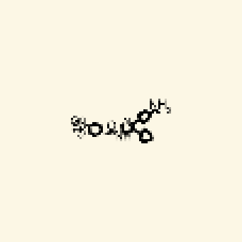 CC(N)c1ccc(-c2ncc(NC(=O)C[C@H]3CC[C@H](N(C)S(C)(=O)=O)CC3)cc2-c2ccccc2)cc1